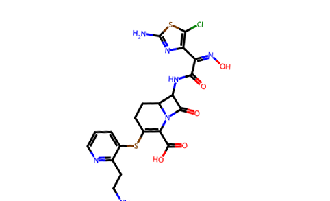 NCCc1ncccc1SC1=C(C(=O)O)N2C(=O)C(NC(=O)/C(=N\O)c3nc(N)sc3Cl)C2CC1